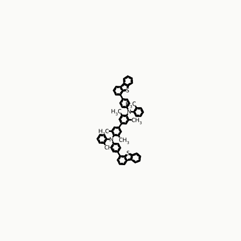 Cc1ccccc1N(c1ccc(-c2cccc3c2sc2ccccc23)cc1)c1c(C)cc(-c2cc(C)c(N(c3ccc(-c4cccc5c4sc4ccccc45)cc3)c3ccccc3C)c(C)c2)cc1C